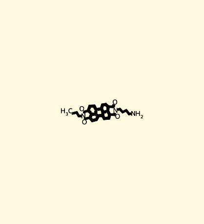 CCCCN1C(=O)c2ccc3c4ccc5c6c(ccc(c7ccc(c2c37)C1=O)c64)C(=O)N(CCCCN)C5=O